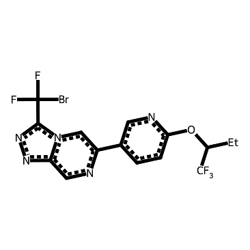 CCC(Oc1ccc(-c2cn3c(C(F)(F)Br)nnc3cn2)cn1)C(F)(F)F